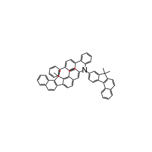 CC1(C)c2cc(N(c3ccc4c5c(ccc4c3)-c3ccc4ccccc4c3C5(C)C)c3ccccc3-c3ccc(-c4ccccc4)cc3)ccc2-c2c1ccc1ccccc21